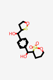 O=S1(=O)OCCCC1C(O)c1ccc(C(O)C2CCOS2)cc1